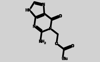 CC(C)(C)C(=O)OCn1c(N)nc2[nH]cnc2c1=O